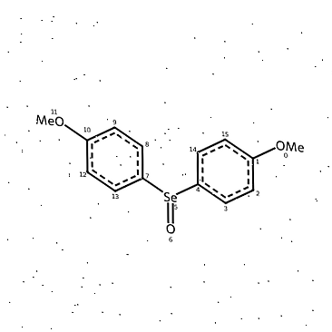 COc1ccc([Se](=O)c2ccc(OC)cc2)cc1